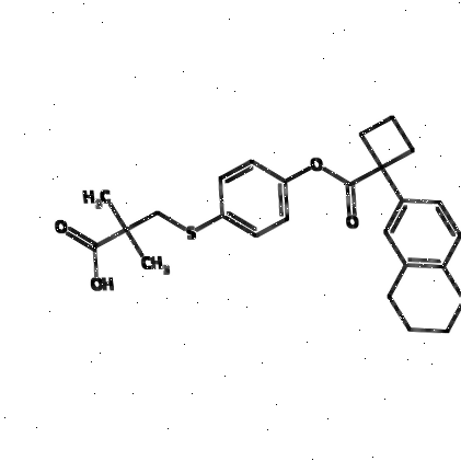 CC(C)(CSc1ccc(OC(=O)C2(c3ccc4c(c3)CCCC4)CCC2)cc1)C(=O)O